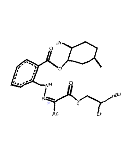 CCCCC(CC)CNC(=O)/C(=N\Nc1ccccc1C(=O)OC1CC(C)CCC1C(C)C)C(C)=O